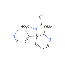 COC1N=CC=CC1(c1ccncc1)N(CC(F)(F)F)C(=O)O